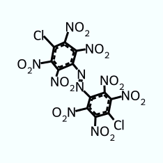 O=[N+]([O-])c1c(Cl)c([N+](=O)[O-])c([N+](=O)[O-])c(N=Nc2c([N+](=O)[O-])c([N+](=O)[O-])c(Cl)c([N+](=O)[O-])c2[N+](=O)[O-])c1[N+](=O)[O-]